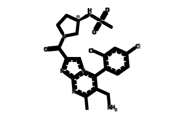 Cc1nc2nc(C(=O)N3CC[C@@H](NS(C)(=O)=O)C3)cn2c(-c2ccc(Cl)cc2Cl)c1CN